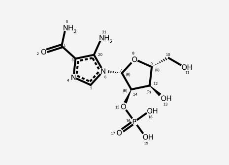 NC(=O)c1ncn([C@@H]2O[C@H](CO)[C@@H](O)[C@H]2OP(=O)(O)O)c1N